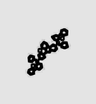 c1ccc(N(c2ccc3c(c2)Oc2cccc4c2c-3cc2ccc(N(c3ccccc3)c3cccc5c3oc3ccccc35)cc24)c2cccc3c2oc2ccccc23)cc1